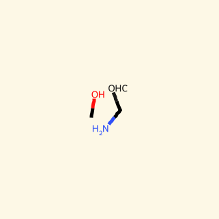 CO.NCC=O